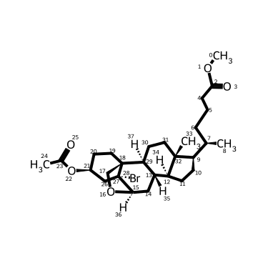 COC(=O)CCC[C@@H](C)[C@H]1CC[C@H]2[C@@H]3C[C@H]4OC[C@@]5(CC[C@H](OC(C)=O)C[C@]45Br)[C@H]3CC[C@]12C